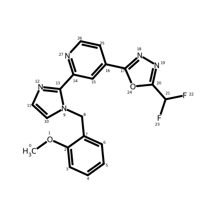 COc1ccccc1Cn1ccnc1-c1cc(-c2nnc(C(F)F)o2)ccn1